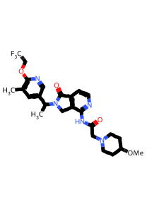 COC1CCN(CC(=O)Nc2nccc3c2CN(C(C)c2cnc(OCC(F)(F)F)c(C)c2)C3=O)CC1